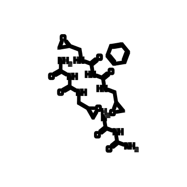 NC(=O)NC(=O)NCC1CO1.NC(=O)NC(N)=O.O=C(NCC1CO1)NC(=O)NCC1CO1.c1ccccc1